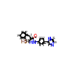 O=C(Nc1ccc(-c2cnccn2)cc1)C(CS)Cc1ccccc1